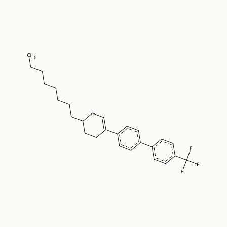 CCCCCCCCC1CC=C(c2ccc(-c3ccc(C(F)(F)F)cc3)cc2)CC1